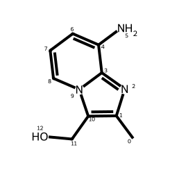 Cc1nc2c(N)cccn2c1CO